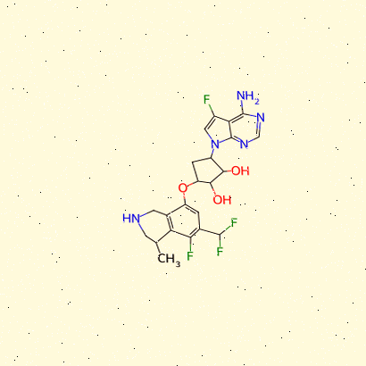 CC1CNCc2c(OC3CC(n4cc(F)c5c(N)ncnc54)C(O)C3O)cc(C(F)F)c(F)c21